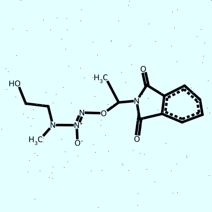 CC(ON=[N+]([O-])N(C)CCO)N1C(=O)c2ccccc2C1=O